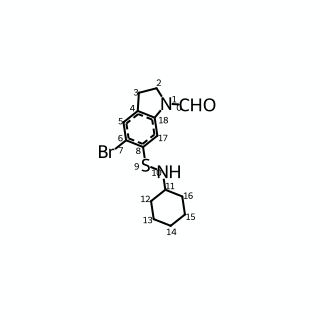 O=CN1CCc2cc(Br)c(SNC3CCCCC3)cc21